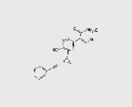 N#Cc1nnc(-c2c[nH]c(=O)[nH]c2=O)cc1[C@H]1C[C@@H]1C#Cc1ccccc1